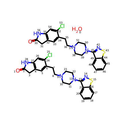 O.O=C1Cc2cc(CCN3CCN(c4nsc5ccccc45)CC3)c(Cl)cc2N1.O=C1Cc2cc(CCN3CCN(c4nsc5ccccc45)CC3)c(Cl)cc2N1